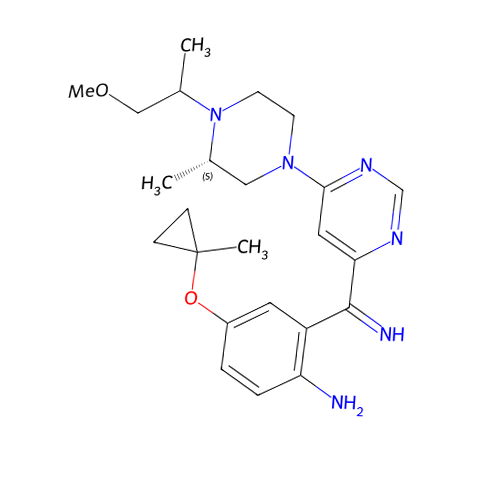 COCC(C)N1CCN(c2cc(C(=N)c3cc(OC4(C)CC4)ccc3N)ncn2)C[C@@H]1C